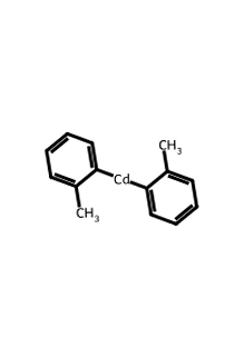 Cc1cccc[c]1[Cd][c]1ccccc1C